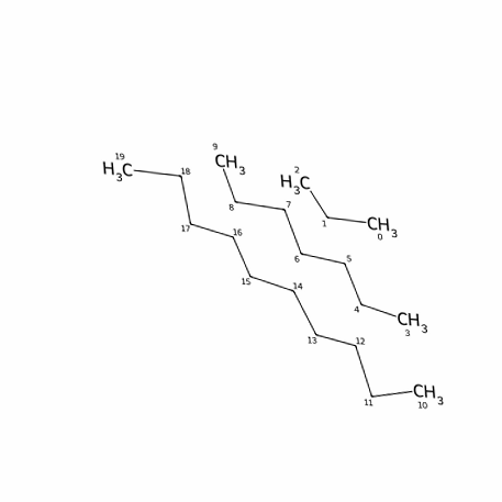 CCC.CCCCCCC.CCCCCCCCCC